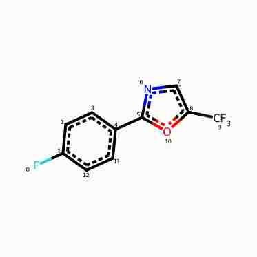 Fc1ccc(-c2n[c]c(C(F)(F)F)o2)cc1